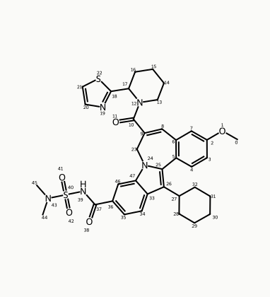 COc1ccc2c(c1)C=C(C(=O)N1CCCCC1c1nccs1)Cn1c-2c(C2CCCCC2)c2ccc(C(=O)NS(=O)(=O)N(C)C)cc21